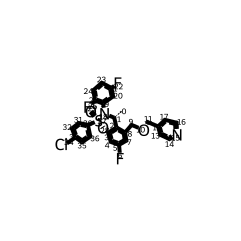 C[C@H](c1ccc(F)cc1COCc1ccncc1)N(c1cc(F)ccc1F)S(=O)(=O)c1ccc(Cl)cc1